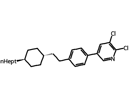 CCCCCCC[C@H]1CC[C@H](CCc2ccc(-c3cnc(Cl)c(Cl)c3)cc2)CC1